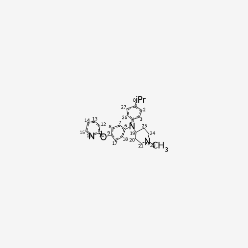 CC(C)c1ccc(N(c2ccc(Oc3ccccn3)cc2)C2CCN(C)CC2)cc1